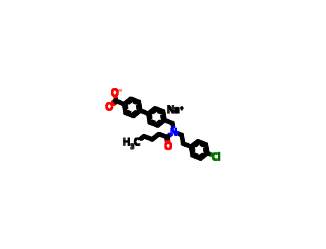 CCCCC(=O)N(CCc1ccc(Cl)cc1)Cc1ccc(-c2ccc(C(=O)[O-])cc2)cc1.[Na+]